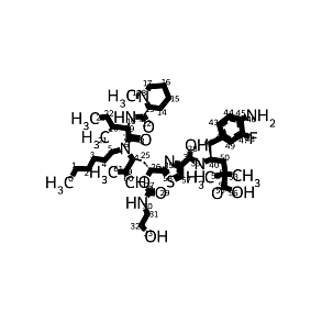 CCCCCCN(C(=O)[C@@H](NC(=O)[C@H]1CCCCN1C)[C@@H](C)CC)[C@H](C[C@@H](OC(=O)NCCO)c1nc(C(O)N[C@@H](Cc2ccc(N)c(F)c2)CC(C)(C)C(=O)O)cs1)C(C)C